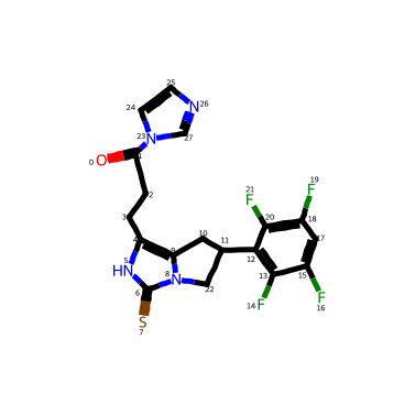 O=C(CCc1[nH]c(=S)n2c1CC(c1c(F)c(F)cc(F)c1F)C2)n1ccnc1